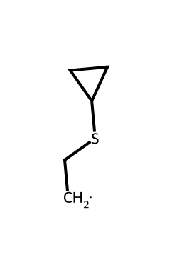 [CH2]CSC1CC1